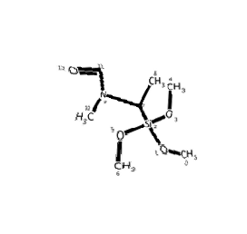 CO[Si](OC)(OC)C(C)N(C)C=O